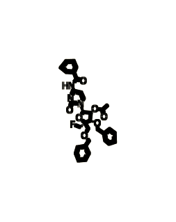 CC(=O)O[C@H]1[C@H](n2ccc(NC(=O)c3ccccc3)nc2=O)O[C@](CF)(COCc2ccccc2)[C@H]1OCc1ccccc1